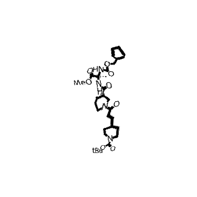 COC(=O)[C@@](C)(NC(=O)OCc1ccccc1)NC(=O)[C@@H]1CCCN(C(=O)CCC2CCN(C(=O)OC(C)(C)C)CC2)C1